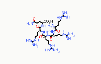 N=C(N)NCCC[C@H](NC(=O)[C@H](CCCNC(=N)N)NC(=O)[C@H](CCCNC(=N)N)NC(=O)[C@@H](N)CCCNC(=N)N)C(=O)N[C@@H](CCC(N)=O)C(=O)O